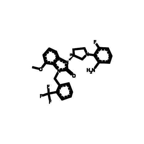 COc1cccc2c1n(Cc1ccccc1C(F)(F)F)c(=O)n2[C@@H]1CCN(c2c(N)cccc2F)C1